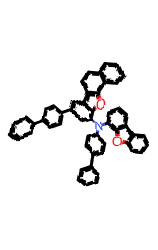 c1ccc(-c2ccc(-c3cc(N(c4ccc(-c5ccccc5)cc4)c4cccc5c4oc4ccccc45)c4oc5c6ccccc6ccc5c4c3)cc2)cc1